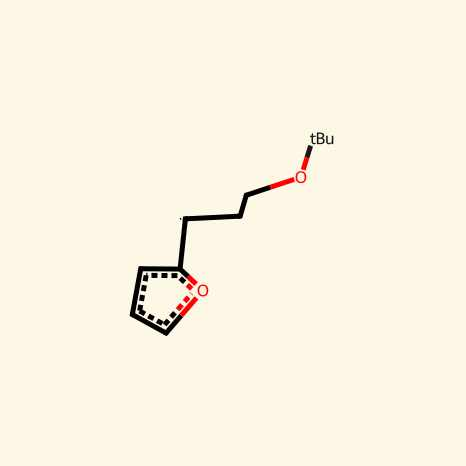 CC(C)(C)OCC[CH]c1ccco1